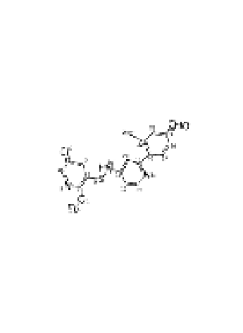 CCOc1ncc(Cl)cc1SNc1ccnc(-c2ccc(C=O)cc2F)c1